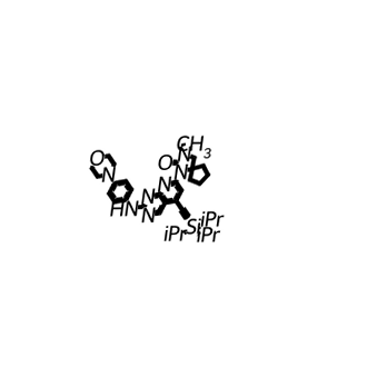 CC(C)[Si](C#Cc1cc(N2C(=O)N(C)CC23CCCC3)nc2nc(Nc3ccc(N4CCOCC4)cc3)ncc12)(C(C)C)C(C)C